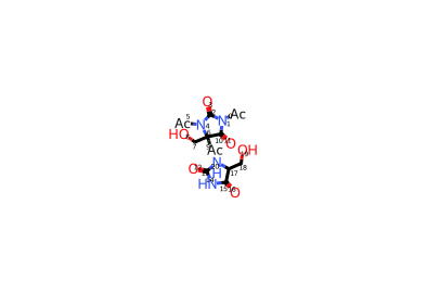 CC(=O)N1C(=O)N(C(C)=O)C(CO)(C(C)=O)C1=O.O=C1NC(=O)C(CO)N1